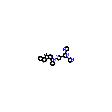 CC1(C)c2ccc3c(c2-c2ccc4ccccc4c21)c1ccccc1n3-c1ccc(-c2cc(-c3cccnc3)nc(-c3ccccn3)c2)cn1